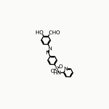 O=Cc1cc(/N=N/c2ccc(S(=O)(=O)Nc3ccccn3)cc2)ccc1O